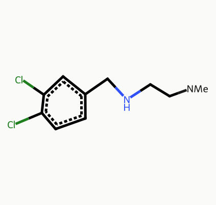 CNCCNCc1ccc(Cl)c(Cl)c1